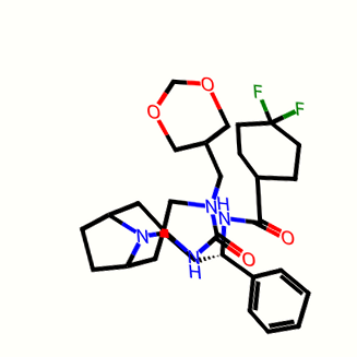 O=C(N[C@@H](CCN1C2CCC1CC1(C2)CN(CC2COCOC2)C(=O)N1)c1ccccc1)C1CCC(F)(F)CC1